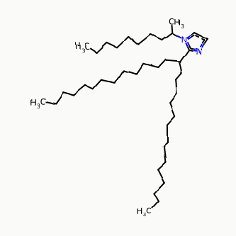 CCCCCCCCCCCCCCC(CCCCCCCCCCCCC)c1nccn1C(C)CCCCCCCC